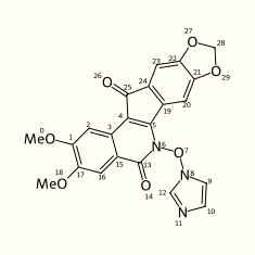 COc1cc2c3c(n(On4ccnc4)c(=O)c2cc1OC)-c1cc2c(cc1C3=O)OCO2